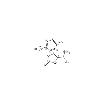 CC[C@@H](N)C1CCC(C)O1.Cc1ccc(S(=O)(=O)O)cc1